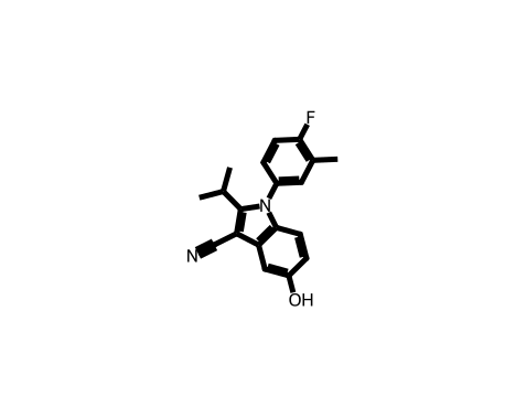 Cc1cc(-n2c(C(C)C)c(C#N)c3cc(O)ccc32)ccc1F